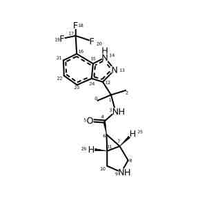 CC(C)(NC(=O)[C@H]1[C@@H]2CNC[C@@H]21)c1n[nH]c2c(C(F)(F)F)cccc12